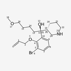 C=CCOc1c(Br)cccc1[C@](O)(CCCCOC)[C@@H]1CCCNC1